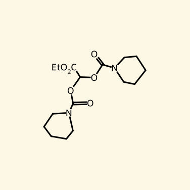 CCOC(=O)C(OC(=O)N1CCCCC1)OC(=O)N1CCCCC1